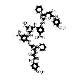 CCSc1nc(Nc2cc(N(CC)CC)ccc2/N=N/c2nc(N3CCCCC3)c(/C=C(/C(C)=O)C(=O)Nc3ccc(S(=O)(=O)O)cc3)s2)nc(Nc2cc(N(CC)CC)ccc2/N=N/c2nc(N3CCCCC3)c(/C=C(\C(C)=O)C(=O)Nc3ccc(S(=O)(=O)O)cc3)s2)n1